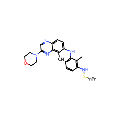 CCCSNc1cccc(Nc2ccc3ncc(N4CCOCC4)nc3c2C#N)c1C